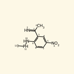 CC(=N)c1cc([N+](=O)[O-])ccc1NPI